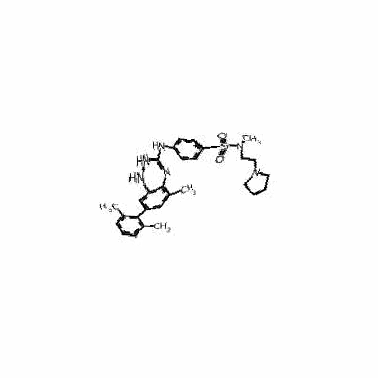 Cc1cc(-c2c(C)cccc2C)cc2c1N=C(Nc1ccc(S(=O)(=O)N(C)CCN3CCCC3)cc1)NN2